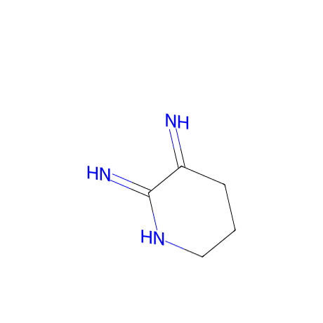 N=C1CCCNC1=N